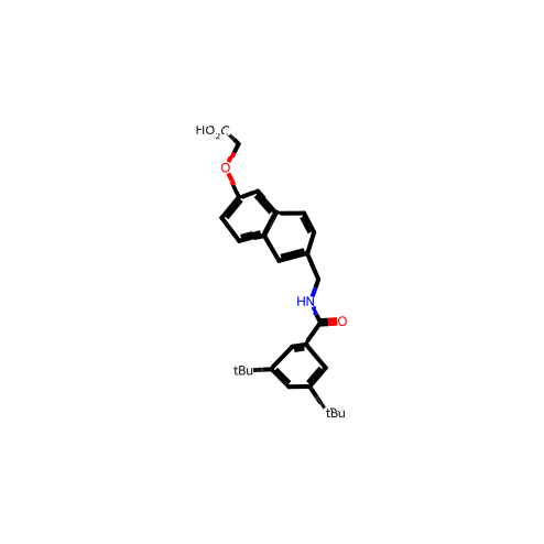 CC(C)(C)c1cc(C(=O)NCc2ccc3cc(OCC(=O)O)ccc3c2)cc(C(C)(C)C)c1